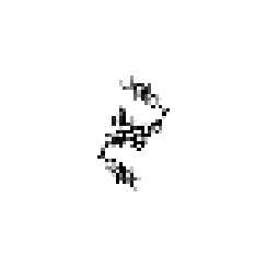 O=C(O)C(c1ccc(OCC[C@@H]2C[C@@H]2C2CCN(c3ncc(Cl)cn3)CC2)cc1F)C(C(=O)NCC1CC1)c1ccc(OCC[C@@H]2C[C@@H]2C2CCN(c3ncc(Cl)cn3)CC2)cc1F